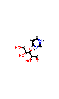 O=CC(O)C(O)C(O)CO.c1cncnc1